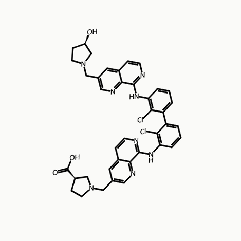 O=C(O)[C@@H]1CCN(Cc2cnc3c(Nc4cccc(-c5cccc(Nc6nccc7cc(CN8CC[C@@H](O)C8)cnc67)c5Cl)c4Cl)nccc3c2)C1